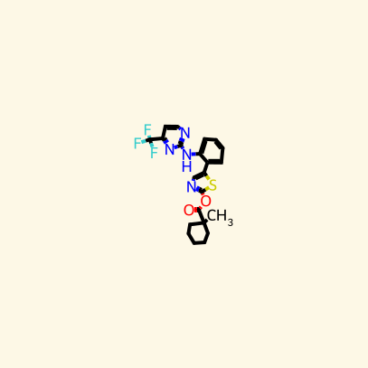 CC1(C(=O)Oc2ncc(-c3ccccc3Nc3nccc(C(F)(F)F)n3)s2)CCCCC1